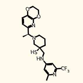 Cc1cc(NC[C@@]2(S)CCCN([C@@H](C)c3ccc4c(n3)OCCO4)C2)cc(C(F)(F)F)n1